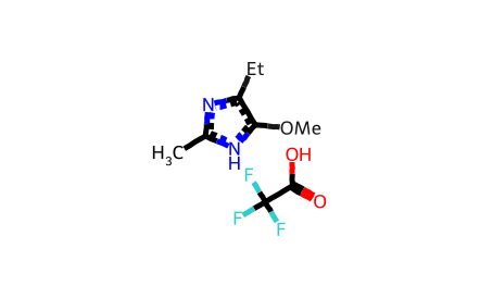 CCc1nc(C)[nH]c1OC.O=C(O)C(F)(F)F